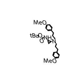 COc1ccc(CCCN(CCCc2ccc(OC)cc2)[C@@H]2C[C@H]2NC(=O)OC(C)(C)C)cc1